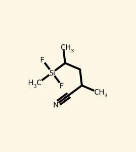 CC(C#N)CC(C)[Si](C)(F)F